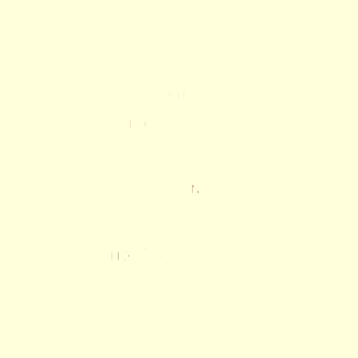 CC(C)c1cccc(N(CCCC(=O)O)C2CCCC2)c1